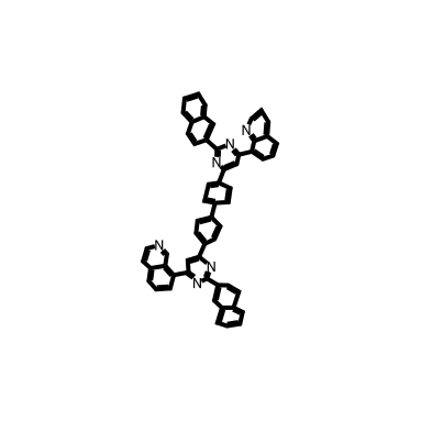 c1ccc2cc(-c3nc(-c4ccc(-c5ccc(-c6cc(-c7cccc8cccnc78)nc(-c7ccc8ccccc8c7)n6)cc5)cc4)cc(-c4cccc5ccncc45)n3)ccc2c1